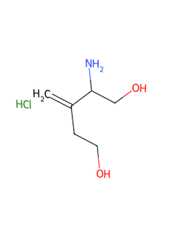 C=C(CCO)C(N)CO.Cl